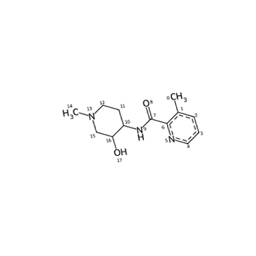 Cc1cccnc1C(=O)NC1CCN(C)CC1O